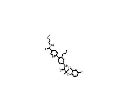 CCCC1CC(NC(=O)C(C)(C)Oc2ccc(Cl)cc2Cl)CCN1c1ccc(C(=O)NCCOC)cn1